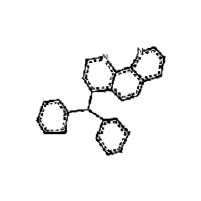 c1ccc(C(c2ccccc2)c2ccnc3c2ccc2cccnc23)cc1